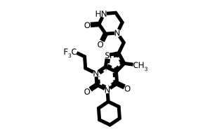 Cc1c(CN2CCNC(=O)C2=O)sc2c1c(=O)n(C1CCCCC1)c(=O)n2CCC(F)(F)F